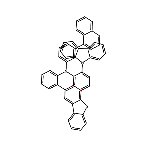 c1cc(-c2cccc3ccccc23)cc(N(c2ccccc2-c2ccc3sc4ccccc4c3c2)c2ccccc2-n2c3ccccc3c3ccccc32)c1